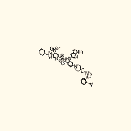 O=C(NS(=O)(=O)c1cc([N+](=O)[O-])c(NCC2CCCCC2)cn1)c1ccc(N2CCC3(CC2)CC(N2CCC[C@@H]2c2ccccc2C2CC2)C3)cc1Oc1cnc2[nH]ccc2c1